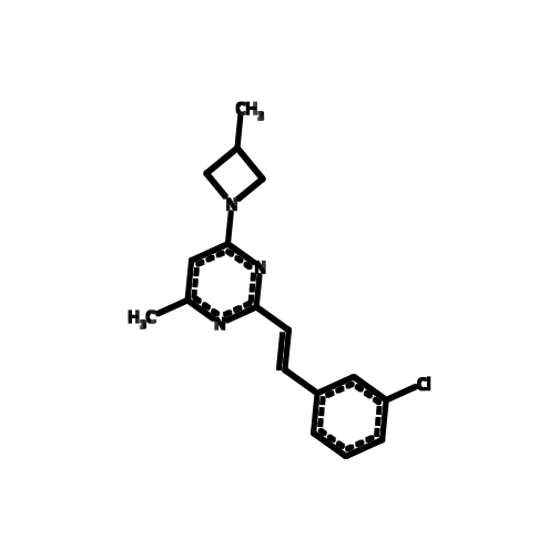 Cc1cc(N2CC(C)C2)nc(C=Cc2cccc(Cl)c2)n1